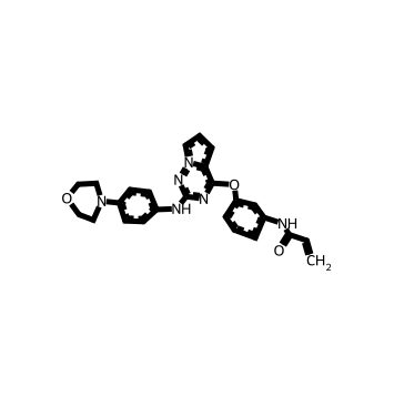 C=CC(=O)Nc1cccc(Oc2nc(Nc3ccc(N4CCOCC4)cc3)nn3cccc23)c1